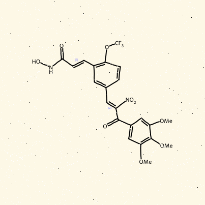 COc1cc(C(=O)/C(=C/c2ccc(OC(F)(F)F)c(/C=C/C(=O)NO)c2)[N+](=O)[O-])cc(OC)c1OC